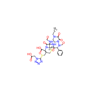 CCN1CCN(N(C=O)C(C(=O)N[C@]2(NC=O)C(=O)N3C(C(=O)O)=C(CSc4nnnn4CC(=O)O)CS[C@H]32)c2ccccc2)C(=O)C1=O